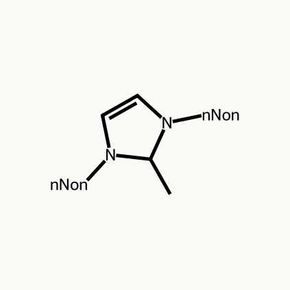 CCCCCCCCCN1C=CN(CCCCCCCCC)C1C